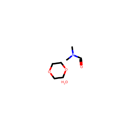 C1COCCO1.CN(C)C=O.O